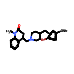 COc1ccc(Br)c(CC2CCN(CC3CC(=O)N(C)c4ccccc43)CC2)c1